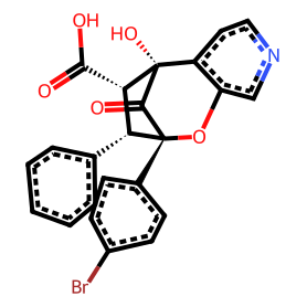 O=C(O)[C@H]1[C@@H](c2ccccc2)[C@@]2(c3ccc(Br)cc3)Oc3cnccc3[C@@]1(O)C2=O